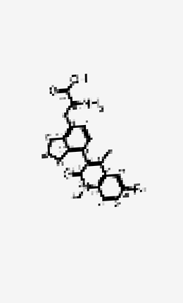 Cc1c(-c2ccc(CC(N)C(=O)O)c3c2CCC3)c(=O)n(C)c2ccc(F)cc12